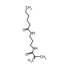 C=C(C)C(=O)NCCCNC(=O)CCCCC